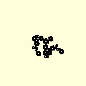 N#Cc1ccc(-c2ccc(-c3nc(-c4ccccc4)nc(-c4ccc(C#N)c(-n5c6ccccc6c6cc(C(=O)OCc7ccccc7)ccc65)c4)n3)cc2-n2c3ccccc3c3cc(C(=O)OCc4ccccc4)ccc32)cc1